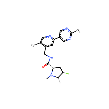 C[C@H]1[C@H](F)C[C@@H](C(=O)NCc2cc(-c3cnc(C(F)(F)F)nc3)ncc2C(F)(F)F)N1C